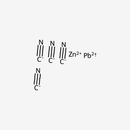 [C-]#N.[C-]#N.[C-]#N.[C-]#N.[Pb+2].[Zn+2]